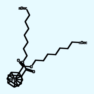 CCCCCCCCCCCCCCCCCOC(=O)[C]12[CH]3[CH]4[CH]5[CH]1[Fe]45321678[CH]2[CH]1[CH]6[C]7(C(=O)OCCCCCCCCCCCCCCCCC)[CH]28